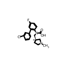 CN1CC[C@@H](CN(C(=O)O)c2ccc(F)cc2-c2cccc(Cl)c2)C1